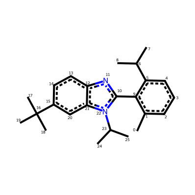 Cc1cccc(C(C)C)c1-c1nc2ccc(C(C)(C)C)cc2n1C(C)C